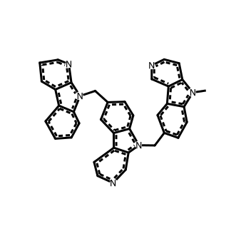 Cn1c2ccncc2c2cc(Cn3c4ccc(Cn5c6ccccc6c6cccnc65)cc4c4ccncc43)ccc21